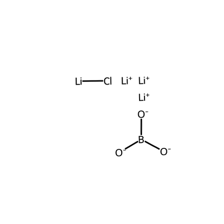 [Li+].[Li+].[Li+].[Li][Cl].[O-]B([O-])[O-]